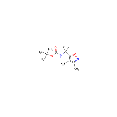 Bc1c(C)noc1C1(NC(=O)OC(C)(C)C)CC1